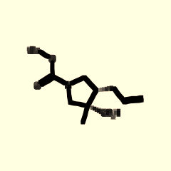 C=CC[C@H]1CN(C(=O)OC(C)(C)C)C[C@@]1(C)C(=O)O